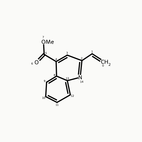 C=Cc1cc(C(=O)OC)c2ccccc2n1